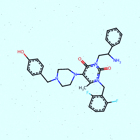 Cc1c(N2CCN(Cc3ccc(O)cc3)CC2)c(=O)n(CC(N)c2ccccc2)c(=O)n1Cc1c(F)cccc1F